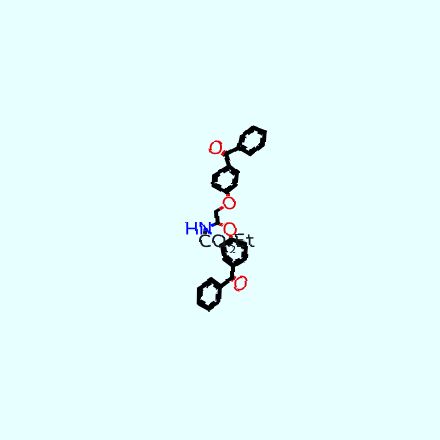 CCOC(=O)NC(COc1ccc(C(=O)c2ccccc2)cc1)Oc1ccc(C(=O)c2ccccc2)cc1